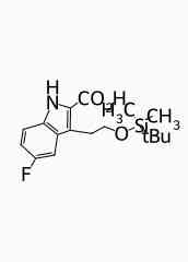 CC(C)(C)[Si](C)(C)OCCc1c(C(=O)O)[nH]c2ccc(F)cc12